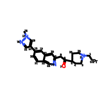 CC(C)CN1CCC(C(=O)Cc2cc3cc(-c4cnn(C)c4)ccc3cn2)CC1